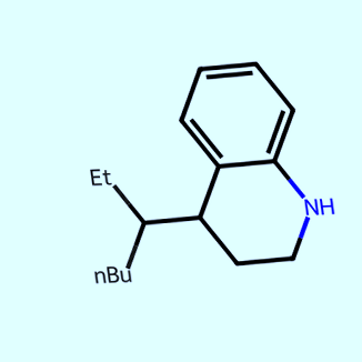 CCCCC(CC)C1CCNc2ccccc21